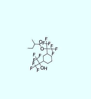 CCC(C)C(=O)OC(C1CCCC(C(O)(C(F)(F)F)C(F)(F)F)C1)(C(F)(F)F)C(F)(F)F